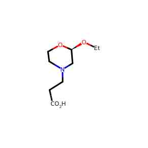 CCO[C@H]1CN(CCC(=O)O)CCO1